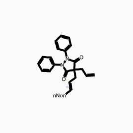 C=CCC1(C/C=C/CCCCCCCCC)C(=O)N(c2ccccc2)N(c2ccccc2)C1=O